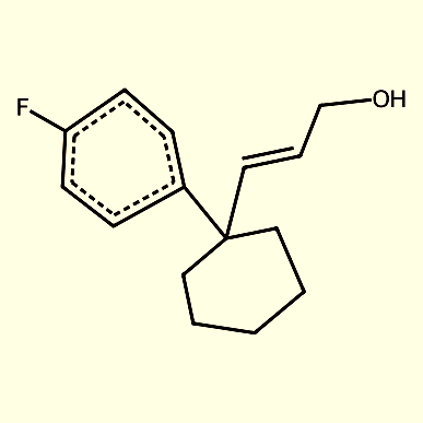 OC/C=C/C1(c2ccc(F)cc2)CCCCC1